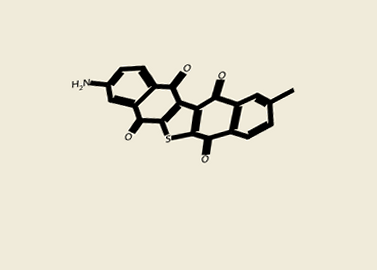 Cc1ccc2c(=O)c3sc4c(=O)c5cc(N)ccc5c(=O)c4c3c(=O)c2c1